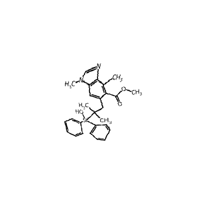 COC(=O)c1c(CC(C)(C)[Si](O)(c2ccccc2)c2ccccc2)cc2c(ncn2C)c1C